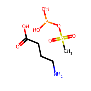 CS(=O)(=O)OP(O)O.NCCCC(=O)O